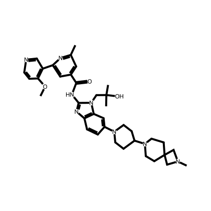 COc1ccncc1-c1cc(C(=O)Nc2nc3ccc(N4CCC(N5CCC6(CC5)CN(C)C6)CC4)cc3n2CC(C)(C)O)cc(C)n1